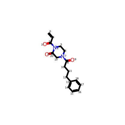 C=CC(=O)N1CCN(C(=O)CCCc2ccccc2)CC1=O